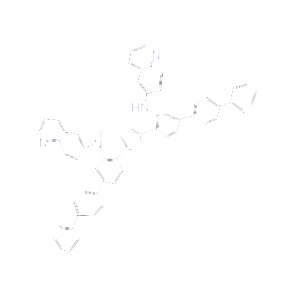 c1ccc(-c2ccc(-c3ccc(-c4ccc(-c5ccc(-c6ccc(-c7ccccc7)cc6)cc5Nc5ccc6ncccc6c5)s4)c(Nc4ccc5ncccc5c4)c3)cc2)cc1